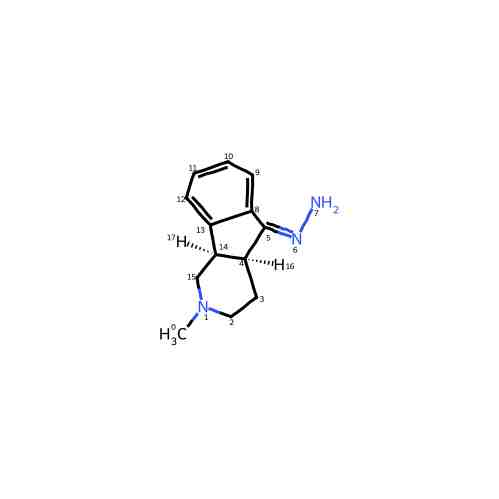 CN1CC[C@@H]2/C(=N/N)c3ccccc3[C@@H]2C1